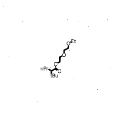 CCCC(C(=O)OCCOCCOCC)C(C)(C)C